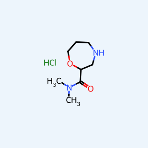 CN(C)C(=O)C1CNCCCO1.Cl